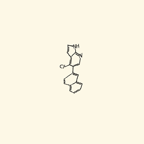 Clc1c(-c2ccc3ccccc3c2)cnc2[nH]ccc12